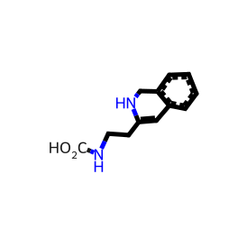 O=C(O)NCCC1=Cc2ccccc2CN1